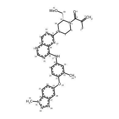 C=C(F)C(=O)N1CCN(c2ncc3ncnc(Nc4ccc(Oc5ccc6c(c5)nnn6C)c(C)c4)c3n2)C[C@@H]1COC